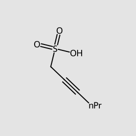 CCCC#CCS(=O)(=O)O